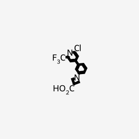 O=C(O)C1CN(c2cccc(-c3cc(Cl)nc(C(F)(F)F)c3)c2)C1